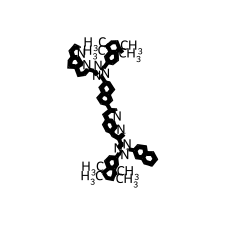 CC1(C)CCC(C)(C)c2cc(-c3nc(-c4ccc5ccccc5c4)nc(-c4cnc5c(ccc6cc(-c7ccc8cc(-c9nc(-c%10ccc%11c(c%10)C(C)(C)CCC%11(C)C)nc(-c%10ccc%11ccc%12cccnc%12c%11n%10)n9)ccc8c7)cnc65)c4)n3)ccc21